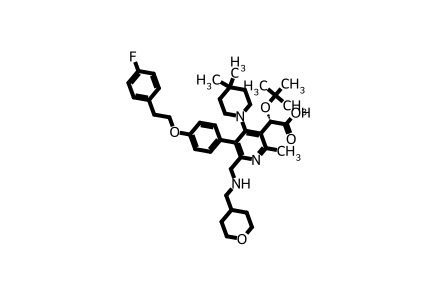 Cc1nc(CNCC2CCOCC2)c(-c2ccc(OCCc3ccc(F)cc3)cc2)c(N2CCC(C)(C)CC2)c1[C@H](OC(C)(C)C)C(=O)O